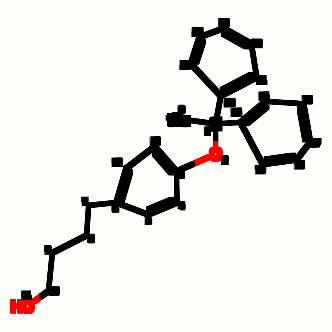 CC(C)(C)[Si](Oc1ccc(CCCCO)cc1)(c1ccccc1)c1ccccc1